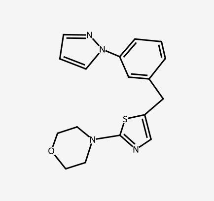 c1cc(Cc2cnc(N3CCOCC3)s2)cc(-n2cccn2)c1